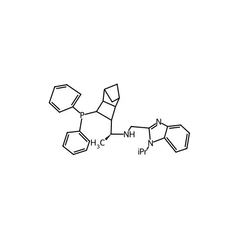 CC(C)n1c(CN[C@@H](C)C2C3C4CC(C4)C3C2P(c2ccccc2)c2ccccc2)nc2ccccc21